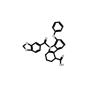 O=C(O)C1CCCc2c1c1cccc(Oc3ccccc3)c1n2C(=O)c1ccc2c(c1)OCO2